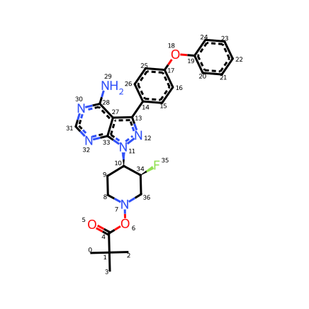 CC(C)(C)C(=O)ON1CC[C@@H](n2nc(-c3ccc(Oc4ccccc4)cc3)c3c(N)ncnc32)[C@@H](F)C1